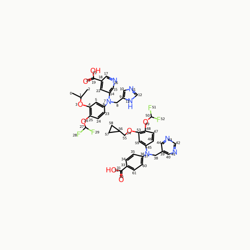 CC(C)Oc1cc(N(Cc2cnc[nH]2)c2cncc(C(=O)O)c2)ccc1OC(F)F.O=C(O)c1ccc(N(Cc2cncnc2)c2ccc(OC(F)F)c(OCC3CC3)c2)cc1